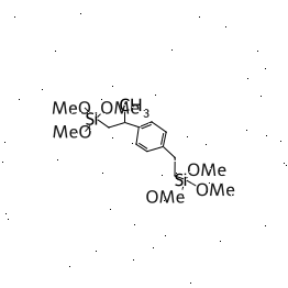 CO[Si](CCc1ccc(C(C)C[Si](OC)(OC)OC)cc1)(OC)OC